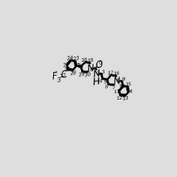 O=C(NCCC1CCN(Cc2ccccc2)CC1)N1CCC(c2cccc(C(F)(F)F)c2)CC1